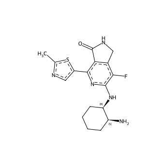 Cc1ncc(-c2nc(N[C@@H]3CCCC[C@@H]3N)c(F)c3c2C(=O)NC3)s1